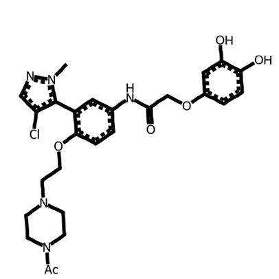 CC(=O)N1CCN(CCOc2ccc(NC(=O)COc3ccc(O)c(O)c3)cc2-c2c(Cl)cnn2C)CC1